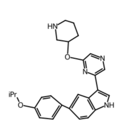 CC(C)Oc1ccc(-c2ccc3[nH]cc(-c4cncc(OC5CCCNC5)n4)c3c2)cc1